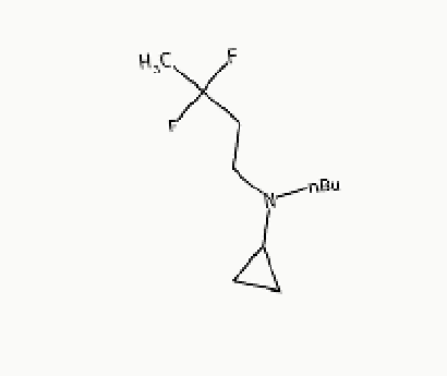 CCCCN(CCC(C)(F)F)C1CC1